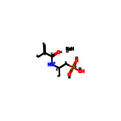 C=C(C)C(=O)NC(C)CS(=O)(=O)O.[NaH]